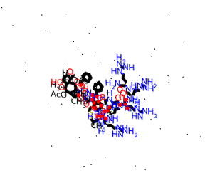 CC(=O)O[C@H]1C(=O)[C@@]2(C)[C@H]([C@H](OC(=O)c3ccccc3)[C@]3(O)C[C@H](OC(=O)[C@H](OC(=O)CSC[C@H](C)C(=O)N[C@H](CCCNC(=N)N)C(=O)N[C@H](CCCNC(=N)N)C(=O)N[C@H](CCCNC(=N)N)C(=O)N[C@H](CCCNC(=N)N)C(=O)N[C@H](CCCNC(=N)N)C(=O)N[C@H](CCCNC(=N)N)C(=O)N[C@H](CCCNC(=N)N)C(N)=O)[C@@H](NC(=O)c4ccccc4)c4ccccc4)C(C)=C1C3(C)C)[C@]1(OC(C)=O)CO[C@@H]1C[C@@H]2O